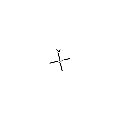 C[Si](C)(C)[Se]